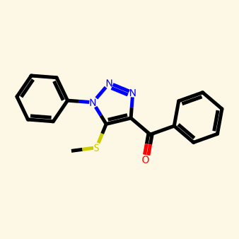 CSc1c(C(=O)c2ccccc2)nnn1-c1ccccc1